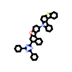 c1ccc(-c2nc(-c3ccccc3)nc(-c3cc4oc5ccc(-n6c7ccccc7c7c8c(ccc76)sc6ccccc68)cc5c4c4ccccc34)n2)cc1